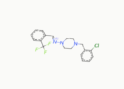 FC(F)(F)c1ccccc1/C=N/N1CCN(Cc2ccccc2Cl)CC1